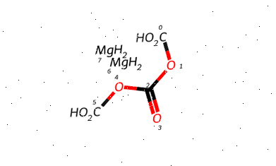 O=C(O)OC(=O)OC(=O)O.[MgH2].[MgH2]